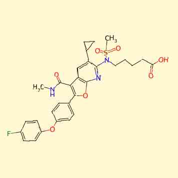 CNC(=O)c1c(-c2ccc(Oc3ccc(F)cc3)cc2)oc2nc(N(CCCCC(=O)O)S(C)(=O)=O)c(C3CC3)cc12